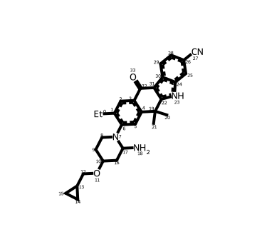 CCc1cc2c(cc1N1CCC(OCC3CC3)CC1N)C(C)(C)c1[nH]c3cc(C#N)ccc3c1C2=O